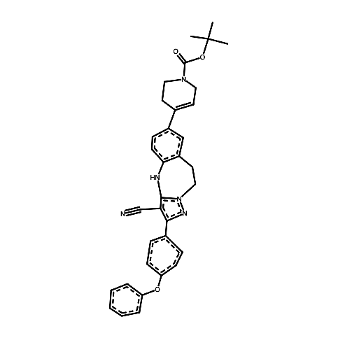 CC(C)(C)OC(=O)N1CC=C(c2ccc3c(c2)CCn2nc(-c4ccc(Oc5ccccc5)cc4)c(C#N)c2N3)CC1